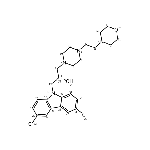 O[C@@H](CN1CCN(CCN2CCOCC2)CC1)Cn1c2ccc(Cl)cc2c2cc(Cl)ccc21